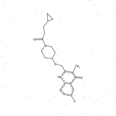 Cc1c(COC2CCN(C(=O)CCC3CC3)CC2)[nH]c2ccc(F)cc2c1=O